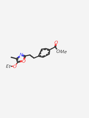 CCOc1oc(CCc2ccc(C(=O)OC)cc2)nc1C